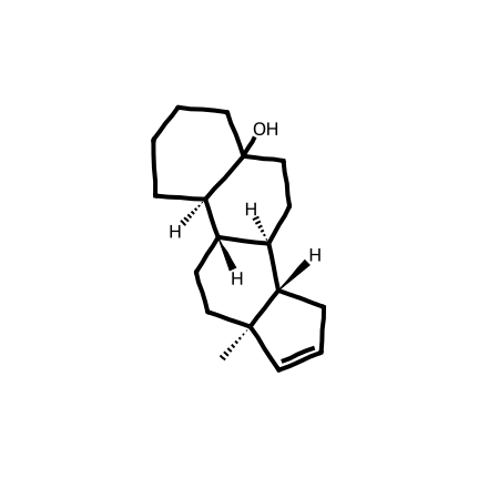 C[C@@]12C=CC[C@H]1[C@@H]1CCC3(O)CCCC[C@@H]3[C@H]1CC2